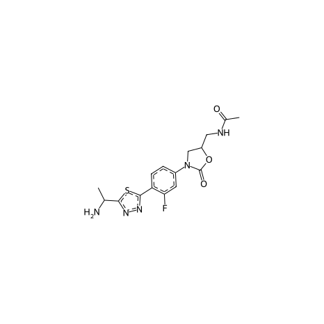 CC(=O)NCC1CN(c2ccc(-c3nnc(C(C)N)s3)c(F)c2)C(=O)O1